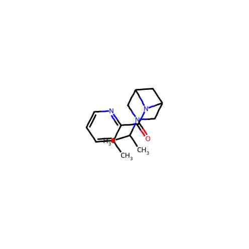 Cc1cccnc1C(=O)N1C2CC1CN(C(C)C)C2